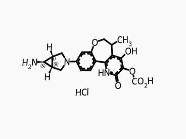 CC1COc2cc(N3C[C@@H]4[C@@H](N)[C@@H]4C3)ccc2-c2[nH]c(=O)c(OC(=O)O)c(O)c21.Cl